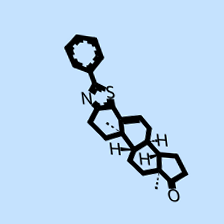 C[C@]12CCc3nc(-c4ccccc4)sc3C1=CC[C@@H]1[C@@H]2CC[C@]2(C)C(=O)CC[C@@H]12